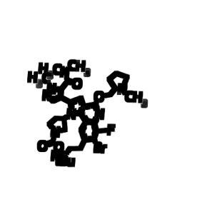 CN(C)C(=O)c1c(-c2cc3c(OCC4CCCN4C)nc4c(F)c(Br)c(CCC#N)cc4c3n2C2CCN(C(=O)OC(C)(C)C)C2)cnn1C